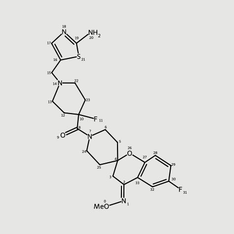 CO/N=C1\CC2(CCN(C(=O)C3(F)CCN(Cc4cnc(N)s4)CC3)CC2)Oc2ccc(F)cc21